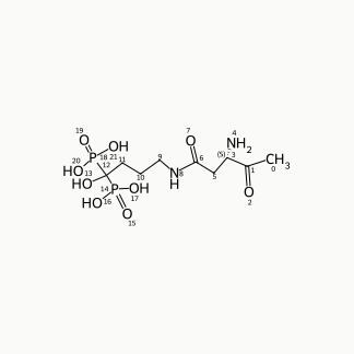 CC(=O)[C@@H](N)CC(=O)NCCCC(O)(P(=O)(O)O)P(=O)(O)O